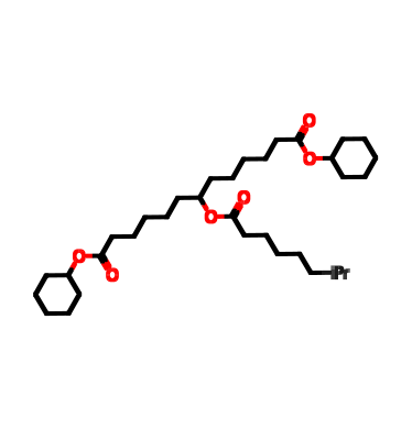 CC(C)CCCCCC(=O)OC(CCCCCC(=O)OC1CCCCC1)CCCCCC(=O)OC1CCCCC1